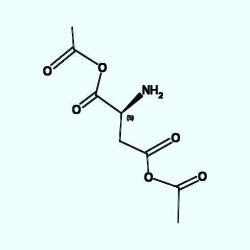 CC(=O)OC(=O)C[C@H](N)C(=O)OC(C)=O